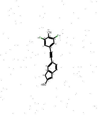 CCCCC1=Cc2ccc(C#Cc3cc(F)c(C#N)c(F)c3)cc2C1